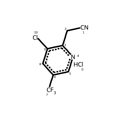 Cl.N#CCc1ncc(C(F)(F)F)cc1Cl